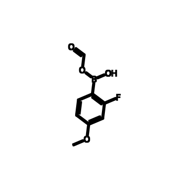 COc1ccc(B(O)OC=O)c(F)c1